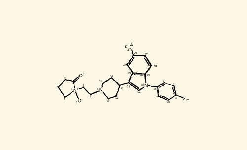 O=C1CCC[N+]1([O-])CCN1CCC(c2cn(-c3ccc(F)cc3)c3ccc(C(F)(F)F)cc23)CC1